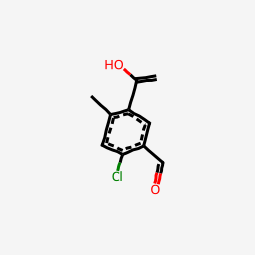 C=C(O)c1cc(C=O)c(Cl)cc1C